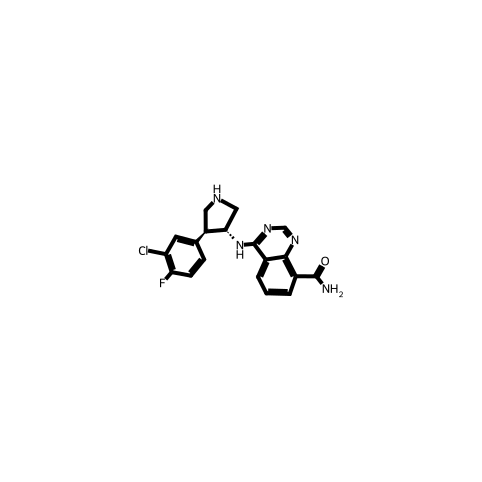 NC(=O)c1cccc2c(N[C@H]3CNC[C@@H]3c3ccc(F)c(Cl)c3)ncnc12